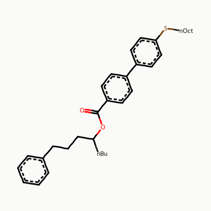 CCCCCCCCSc1ccc(-c2ccc(C(=O)OC(CCCC)CCCc3ccccc3)cc2)cc1